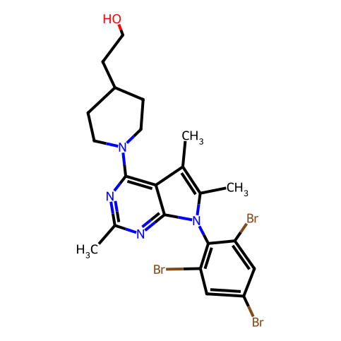 Cc1nc(N2CCC(CCO)CC2)c2c(C)c(C)n(-c3c(Br)cc(Br)cc3Br)c2n1